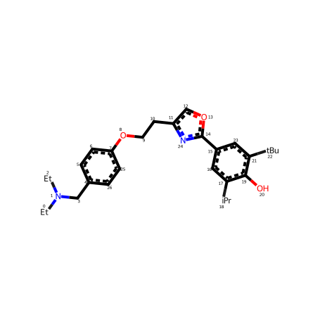 CCN(CC)Cc1ccc(OCCc2coc(-c3cc(C(C)C)c(O)c(C(C)(C)C)c3)n2)cc1